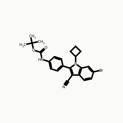 CC(C)(C)OC(=O)Nc1ccc(-c2c(C#N)c3ccc(Br)cc3n2C2CCC2)cc1